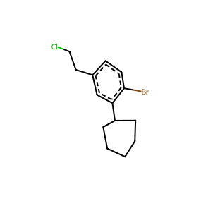 ClCCc1ccc(Br)c(C2CCCCC2)c1